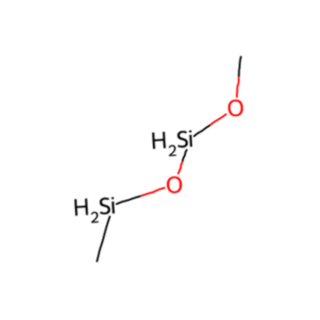 CO[SiH2]O[SiH2]C